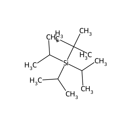 CC(C)[Si](C(C)C)(C(C)C)C(C)(C)C